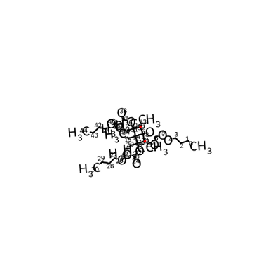 CCCCOOC(=O)OC(CC)(CC)C(CC)(C(CC)(CC)OC(=O)OOCCCC)C(CC)(CC)OC(=O)OOCCCC